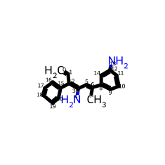 C=C/C(=C(N)\C=C(/C)c1cccc(N)c1)c1ccccc1